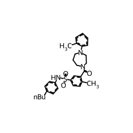 CCCCc1ccc(NS(=O)(=O)c2ccc(C)c(C(=O)N3CCCN(c4ccccc4C)CC3)c2)cc1